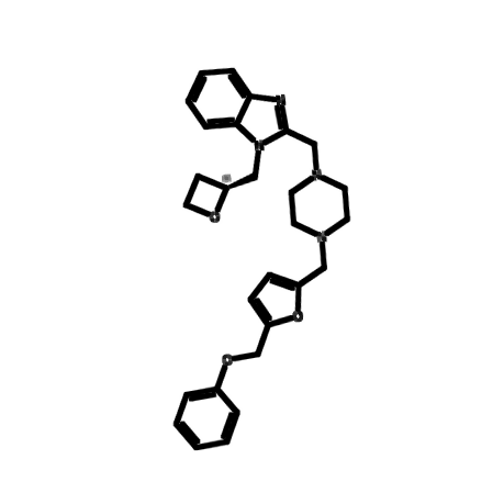 c1ccc(OCc2ccc(CN3CCN(Cc4nc5ccccc5n4C[C@@H]4CCO4)CC3)o2)cc1